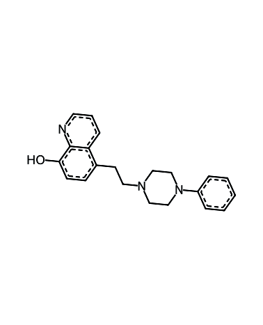 Oc1ccc(CCN2CCN(c3ccccc3)CC2)c2cccnc12